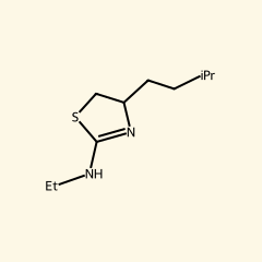 CCNC1=NC(CCC(C)C)CS1